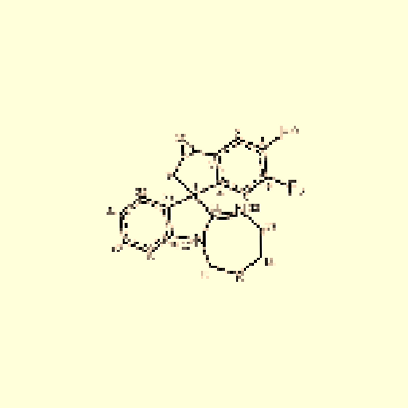 Fc1cc2c(cc1F)C1(CO2)C2=NCCCCN2c2ccccc21